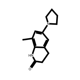 Cc1cc(N2CCCC2)cc2c1NC(=O)CC2